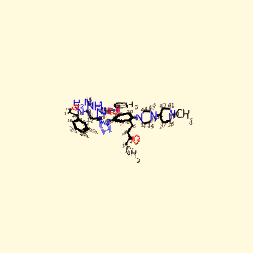 C=CC(=O)CCc1cc(NC(=N)/C=C(\NN)N2OCC[C@@H]2c2ccccc2)c(OC)cc1N1CCN(C2CCN(C)CC2)CC1